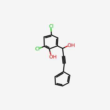 Oc1c(Cl)cc(Cl)cc1C(O)C#Cc1ccccc1